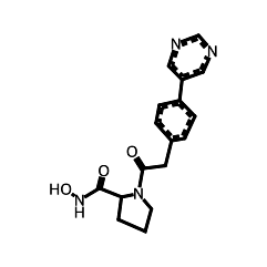 O=C(NO)C1CCCN1C(=O)Cc1ccc(-c2cncnc2)cc1